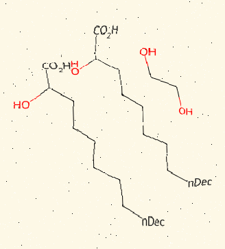 CCCCCCCCCCCCCCCCC(O)C(=O)O.CCCCCCCCCCCCCCCCC(O)C(=O)O.OCCO